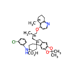 C[C@@H](COc1ccnc2c1[C@H](C)CCC2)C[C@H]1Cc2cc3c(cc2C12CCC(Nc1cccc(Cl)c1)(C(=O)O)CC2)OC(C)(C)O3